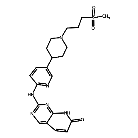 CS(=O)(=O)CCCN1CCC(c2ccc(Nc3ncc4ccc(=O)[nH]c4n3)nc2)CC1